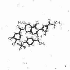 CNC(=O)c1cc(-n2c(NC(C)c3ccc(OC(F)(F)F)cc3)nc3c(c2=O)C[C@@H](C)N(C(=O)c2ccc(Cl)c(Cl)c2)C3)[nH]n1